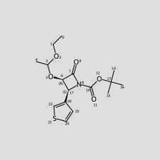 CCOC(C)O[C@H]1C(=O)N(C(=O)OC(C)(C)C)[C@H]1c1ccsc1